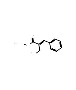 COC(=O)/C(=C/c1ccccc1)CBr